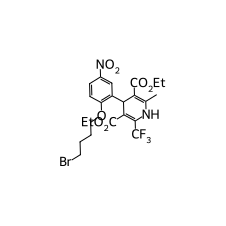 CCOC(=O)C1=C(C)NC(C(F)(F)F)=C(C(=O)OCC)C1c1cc([N+](=O)[O-])ccc1OCCCCBr